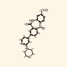 O=Cc1ccc2c(c1)NC(=O)c1cc(-c3ccnc(N4CCOCC4)c3)ccc1[S+]2[O-]